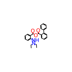 CCN(CC)Nc1ccccc1C(=O)OC(=O)c1ccccc1-c1ccccc1